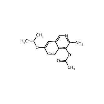 CC(=O)Oc1c(N)ncc2cc(OC(C)C)ccc12